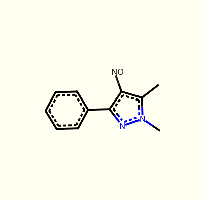 Cc1c(N=O)c(-c2ccccc2)nn1C